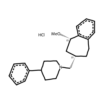 CO[C@H]1C[C@@H](CN2CCC(c3ccccc3)CC2)CCc2ccccc21.Cl